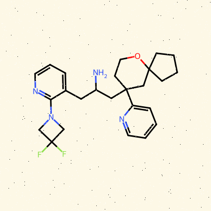 NC(Cc1cccnc1N1CC(F)(F)C1)CC1(c2ccccn2)CCOC2(CCCC2)C1